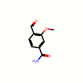 COc1cc(C(N)=O)ccc1C=O